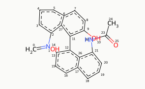 C=Nc1cccc2ccc(O)c(-c3c(O)ccc4cccc(NC(C)=O)c34)c12